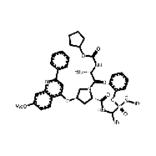 CCCC(NC(=O)[C@@H]1C[C@@H](Oc2cc(-c3ccccc3)nc3cc(OC)ccc23)CN1C(=O)[C@@H](NC(=O)OC1CCCC1)C(C)(C)C)P(=O)(NC(C)C)Oc1ccccc1